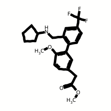 COC(=O)Cc1ccc(OC)c(-c2ccc(C(F)(F)F)cc2CNC2CCCC2)c1